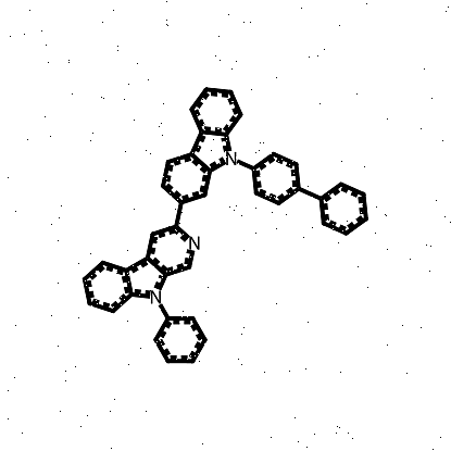 c1ccc(-c2ccc(-n3c4ccccc4c4ccc(-c5cc6c7ccccc7n(-c7ccccc7)c6cn5)cc43)cc2)cc1